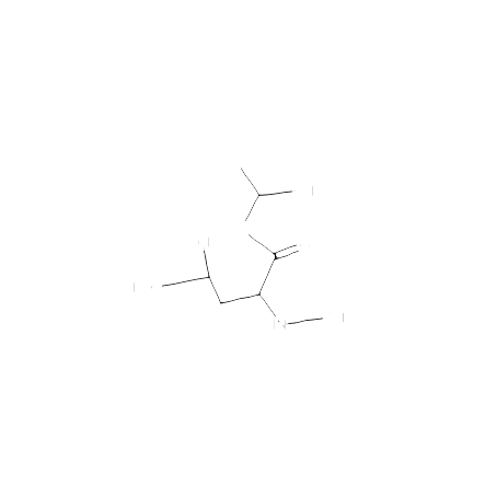 CNC(CC(C)C)C(=O)OC(C)C